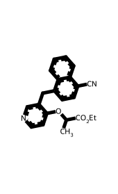 CCOC(=O)C(C)Oc1ccncc1Cc1ccc(C#N)c2ccccc12